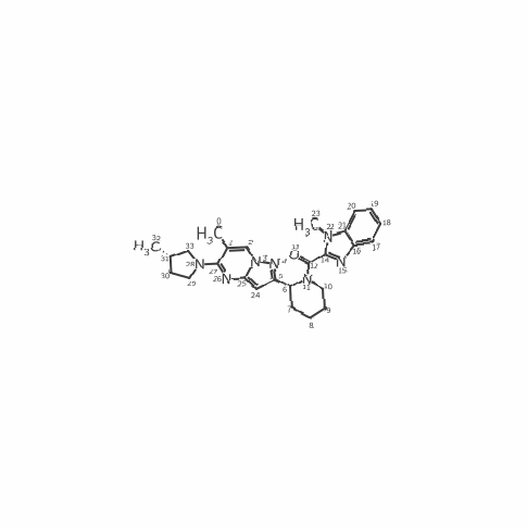 Cc1cn2nc([C@@H]3CCCCN3C(=O)c3nc4ccccc4n3C)cc2nc1N1CC[C@H](C)C1